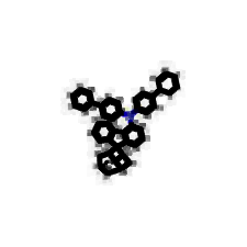 C1=CCC(c2ccc(N(c3ccc(-c4ccccc4)cc3)c3cccc4c3-c3ccccc3C43C4CC5CC6CC3[C@@]64C5)cc2)C=C1